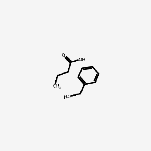 CCCC(=O)O.OCc1ccccc1